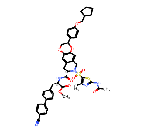 COC(=O)[C@H](Cc1ccc(-c2ccc(C#N)cc2)cc1)NC(=O)[C@@H]1Cc2cc3c(cc2CN1S(=O)(=O)c1sc(NC(C)=O)nc1C)OC(c1ccc(OCC2CCCC2)cc1)CO3